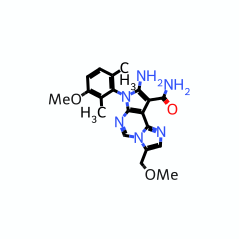 COCc1cnc2c3c(C(N)=O)c(N)n(-c4c(C)ccc(OC)c4C)c3ncn12